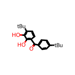 CC(C)(C)c1ccc(C(=O)c2ccc(C(C)(C)C)c(O)c2O)cc1